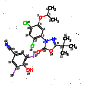 CC(C)Oc1cc(-n2nc(C(C)(C)C)oc2=O)c(Cl)cc1Cl.N#Cc1cc(I)c(O)c(I)c1